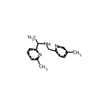 Cc1ccc(CNC(C)c2cccc(C)n2)nc1